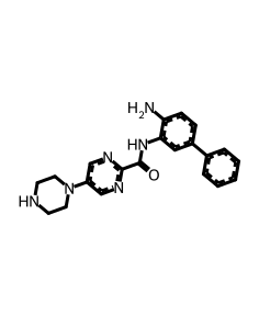 Nc1ccc(-c2ccccc2)cc1NC(=O)c1ncc(N2CCNCC2)cn1